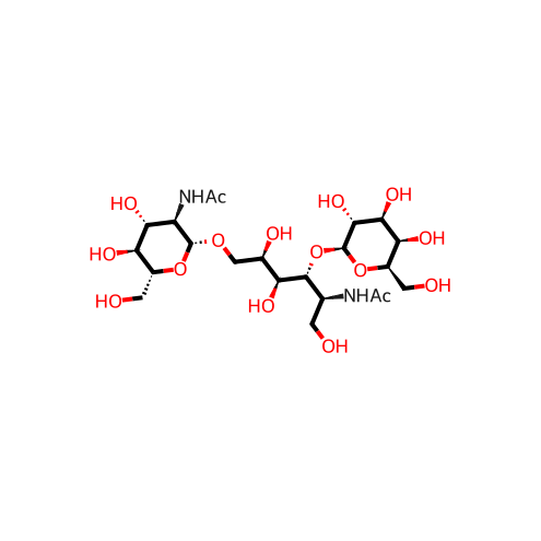 CC(=O)N[C@H]1[C@H](OC[C@@H](O)[C@H](O)[C@H](O[C@@H]2O[C@H](CO)[C@H](O)[C@H](O)[C@H]2O)[C@H](CO)NC(C)=O)O[C@H](CO)[C@@H](O)[C@@H]1O